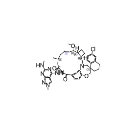 CNc1nc(N[S@@]2(=O)=NC(=O)c3ccc4c(c3)N(C[C@@H]3CC[C@H]3[C@@H](OC)/C=C/C[C@H](C)C2)C[C@@]2(CCCc3cc(Cl)ccc32)CO4)c2cn(C)nc2n1